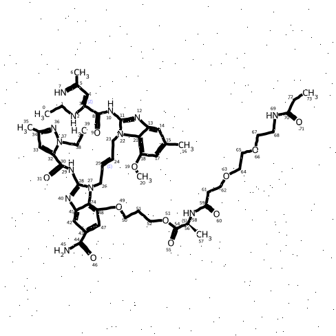 CCN/C(=C\C(C)=N)C(=O)Nc1nc2cc(C)cc(OC)c2n1C/C=C/Cn1c(NC(=O)c2cc(C)nn2CC)nc2cc(C(N)=O)cc(OCCCOC(=O)[C@H](C)NC(=O)CCOCCOCCNC(=O)CC)c21